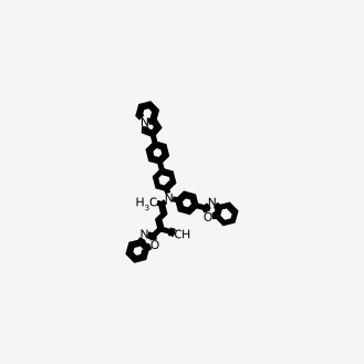 C#C/C(=C\C=C(/C)N(C1=CC=C(c2ccc(-c3cc4ccccn4c3)cc2)CC1)c1ccc(-c2nc3c(o2)CCC=C3)cc1)c1nc2ccccc2o1